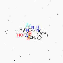 CN(C(=O)[C@@H]1C[C@@H](O)CN1S(C)(=O)=O)C(c1ccc(N[C@H]2Cc3ccccc3C2(C)C)cn1)C(F)(F)F